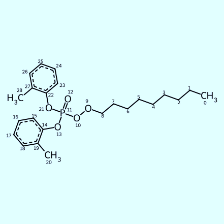 CCCCCCCCCOOP(=O)(Oc1ccccc1C)Oc1ccccc1C